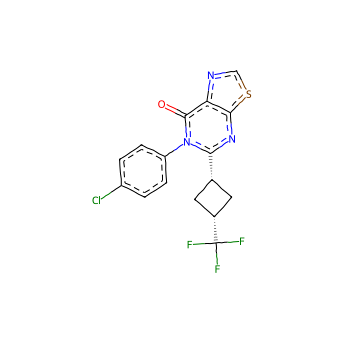 O=c1c2ncsc2nc([C@H]2C[C@@H](C(F)(F)F)C2)n1-c1ccc(Cl)cc1